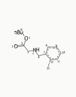 CCCCOC(=O)CNCc1ccccc1C